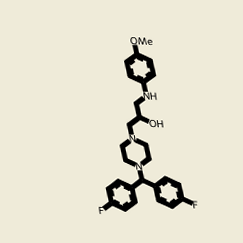 COc1ccc(NCC(O)CN2CCN(C(c3ccc(F)cc3)c3ccc(F)cc3)CC2)cc1